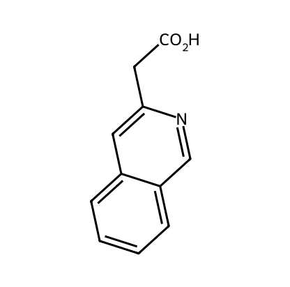 O=C(O)Cc1cc2ccccc2cn1